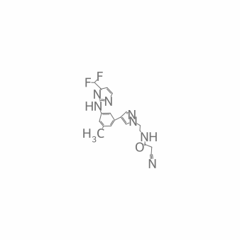 Cc1cc(Nc2nccc(C(F)F)n2)cc(-c2cnn(CCNC(=O)CC#N)c2)c1